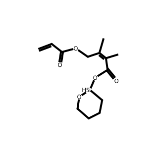 C=CC(=O)OCC(C)=C(C)C(=O)O[SiH]1CCCCO1